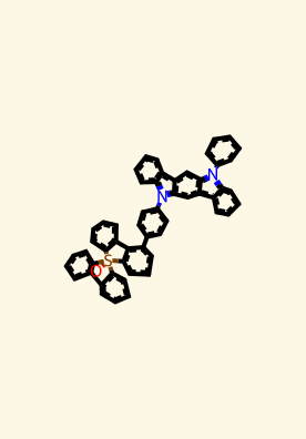 O=S12(c3ccccc3-c3ccccc31)c1ccccc1-c1c(-c3ccc(-n4c5ccccc5c5cc6c(cc54)c4ccccc4n6-c4ccccc4)cc3)cccc12